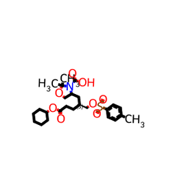 Cc1ccc(S(=O)(=O)OC[C@@H](CCC(=O)OC2CCCCC2)CC2COC(C)(C)N2C(=O)O)cc1